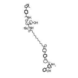 Cc1ncsc1-c1ccc([C@H](C)NC(=O)[C@@H]2C[C@@H](O)CN2C(=O)[C@@H](NC(=O)CCCCCCCCCCCCC(=O)N2CCN(c3ccc(N4CCCC(Oc5cc(-c6ccccc6O)nnc5N)C4)cc3)CC2)C(C)(C)C)cc1